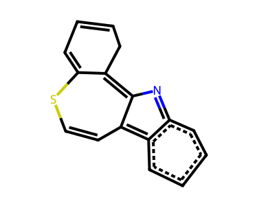 C1=CCC2=C3N=c4ccccc4=C3C=CSC2=C1